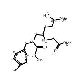 CCCCOC(=O)N(Cc1ccc(F)cc1)CC(CCN(C)OC)NCC(=O)OC